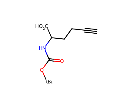 C#CCCC(NC(=O)OC(C)(C)C)C(=O)O